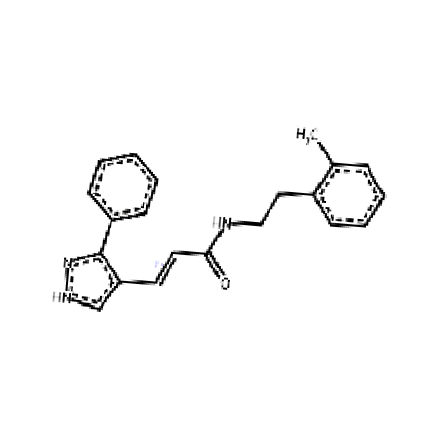 Cc1ccccc1CCNC(=O)/C=C/c1c[nH]nc1-c1ccccc1